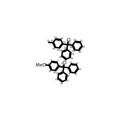 COc1ccc(C(Cl)(c2ccccc2)c2ccccc2)cc1.Cc1ccc(C(Cl)(c2ccccc2)c2ccccc2)cc1